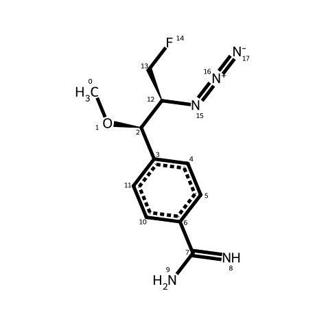 CO[C@H](c1ccc(C(=N)N)cc1)[C@@H](CF)N=[N+]=[N-]